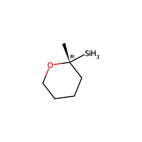 C[C@@]1([SiH3])CCCCO1